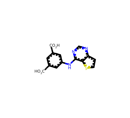 O=C(O)c1cc(Nc2ncnc3ccsc23)cc(C(=O)O)c1